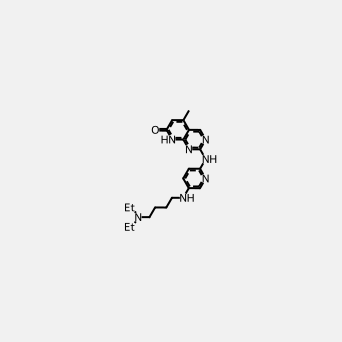 CCN(CC)CCCCNc1ccc(Nc2ncc3c(C)cc(=O)[nH]c3n2)nc1